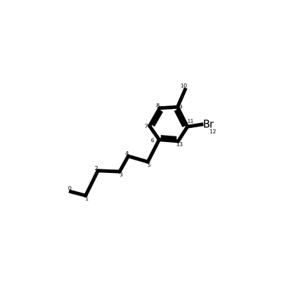 CCCCCCc1ccc(C)c(Br)c1